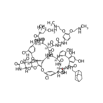 CC[C@H](CC(C)C)C(=O)N[C@H]1C(=O)C[C@@H](CC(=O)NC(=O)Nc2ccc(OCCNC)c(OCCNC)c2)C(=O)N[C@H]2C(=O)C[C@H]3C(=O)N[C@H](C(=O)N[C@H](C(=O)CC4C5CC6CC(C5)CC4C6)c4cc(O)cc(O)c4-c4cc3ccc4O)[C@H](O)c3ccc(c(Cl)c3)Oc3cc2cc(c3O[C@@H]2O[C@@H]3CNC(=O)O[C@H]3[C@H](O)[C@H]2O)Oc2ccc(cc2Cl)[C@H]1O